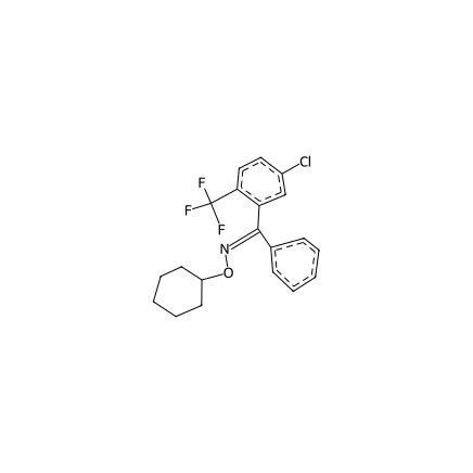 FC(F)(F)c1ccc(Cl)cc1/C(=N/OC1CCCCC1)c1ccccc1